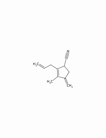 C=CCC1=C(C)C(=C)CC1C#N